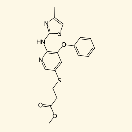 COC(=O)CCSc1cnc(Nc2nc(C)cs2)c(Oc2ccccc2)c1